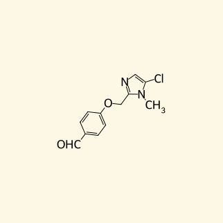 Cn1c(Cl)cnc1COc1ccc(C=O)cc1